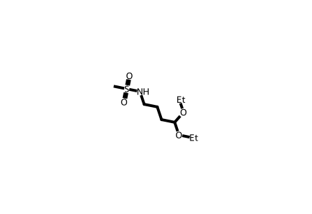 CCOC(CCCNS(C)(=O)=O)OCC